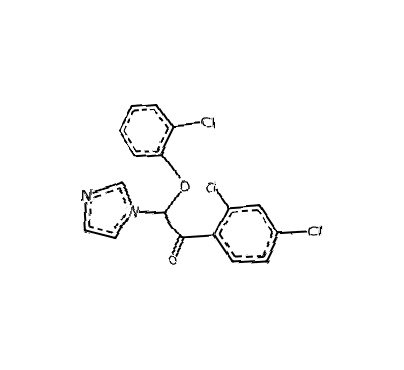 O=C(c1ccc(Cl)cc1Cl)C(Oc1ccccc1Cl)n1ccnc1